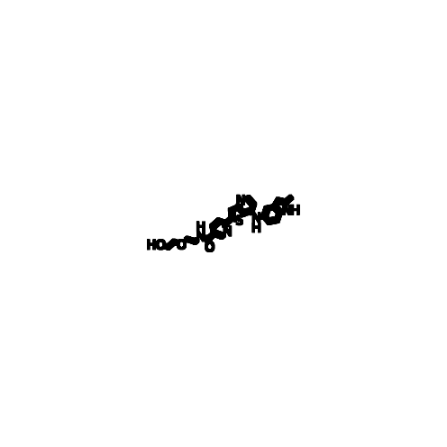 Cc1cc2cc(Nc3ccnc4cc(-c5ccc(C(=O)NCCOCCO)cn5)sc34)ccc2[nH]1